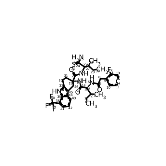 CCC(C)[C@H](NC(=O)Cc1ccccc1F)C(=O)N[C@]1(C(=O)NC(C(N)=S)[C@@H](C)CC)CCc2[nH]c3c(C(F)(F)F)cccc3c2C1